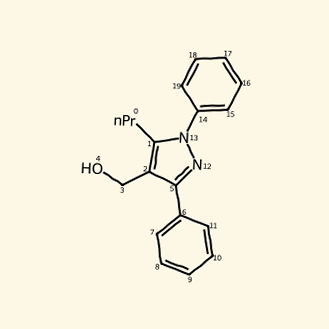 CCCc1c(CO)c(-c2ccccc2)nn1-c1ccccc1